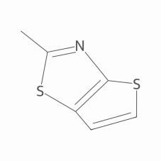 Cc1nc2sccc2s1